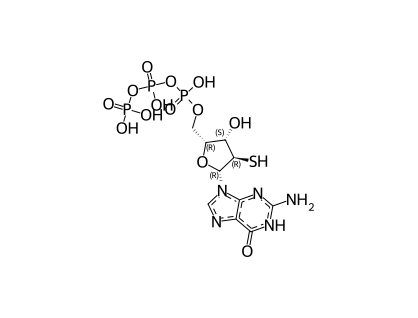 Nc1nc2c(ncn2[C@@H]2O[C@H](COP(=O)(O)OP(=O)(O)OP(=O)(O)O)[C@H](O)[C@H]2S)c(=O)[nH]1